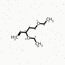 C=CC(CCOCC)OCC